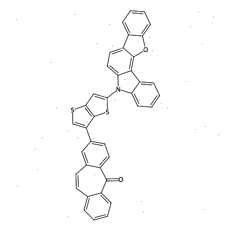 O=c1c2ccccc2ccc2cc(-c3csc4cc(-n5c6ccccc6c6c7oc8ccccc8c7ccc65)sc34)ccc12